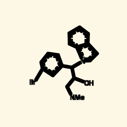 CNCC(O)C(c1cccc(Br)c1)n1ccc2ccccc21